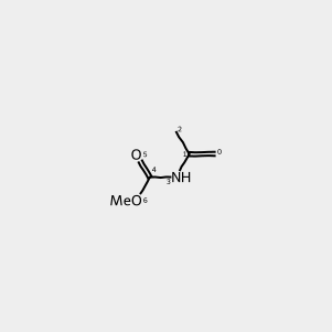 C=C(C)NC(=O)OC